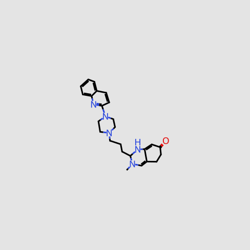 CN1C=C2CCC(=O)C=C2NC1CCCN1CCN(c2ccc3ccccc3n2)CC1